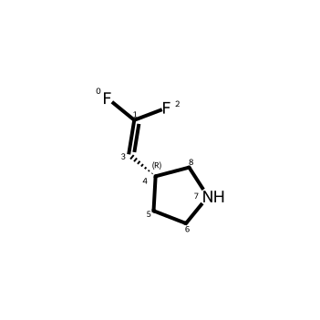 FC(F)=C[C@H]1CCNC1